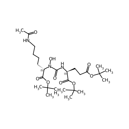 CC(=O)NCCCC[C@@H](C(=O)OC(C)(C)C)N(O)C(=O)N[C@@H](CCC(=O)OC(C)(C)C)C(=O)OC(C)(C)C